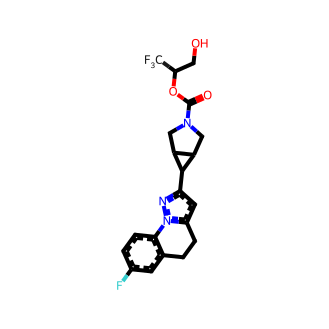 O=C(OC(CO)C(F)(F)F)N1CC2C(C1)C2c1cc2n(n1)-c1ccc(F)cc1CC2